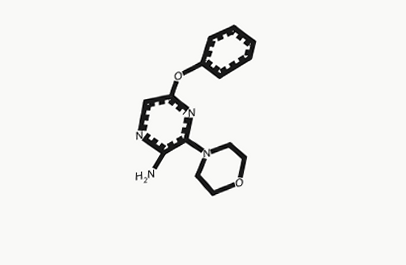 Nc1ncc(Oc2ccccc2)nc1N1CCOCC1